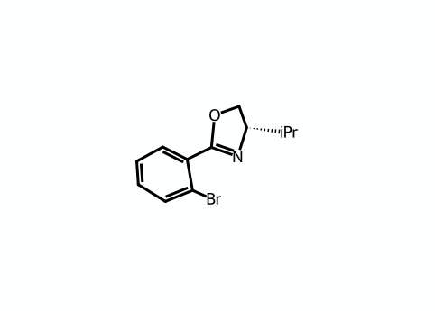 CC(C)[C@H]1COC(c2ccccc2Br)=N1